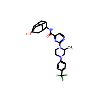 CC1CN(c2ccc(C(F)(F)F)cc2)CCN1c1nccc(C(=O)NC2C3CC4CC2CC(O)(C4)C3)n1